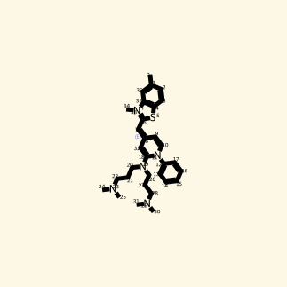 Cc1ccc2sc(/C=C3\C=CN(c4ccccc4)C(N(CCCN(C)C)CCCN(C)C)=C3)[n+](C)c2c1